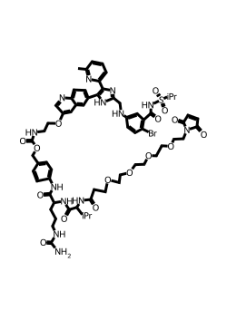 Cc1cccc(-c2nc(CNc3ccc(Br)c(C(=O)NS(=O)(=O)C(C)C)c3)[nH]c2-c2ccc3ncc(OCCNC(=O)OCc4ccc(NC(=O)C(CCCNC(N)=O)NC(=O)C(NC(=O)CCOCCOCCOCCOCCN5C(=O)C=CC5=O)C(C)C)cc4)cc3c2)n1